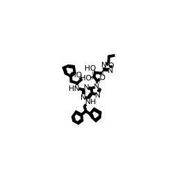 CCc1nc([C@H]2O[C@@H](n3cnc4c(NCC(c5ccccc5)c5ccccc5)nc(NC(CO)Cc5ccccc5)nc43)[C@H](O)[C@@H]2O)no1